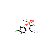 CP(=O)(O)C(O)C(CN)c1ccc(Cl)cc1